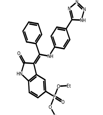 CCOP(=O)(OCC)c1ccc2c(c1)C(=C(Nc1ccc(-c3nnn[nH]3)cc1)c1ccccc1)C(=O)N2